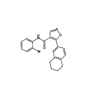 O=C(Nc1ccccc1Br)c1cnoc1-c1ccc2c(c1)CCCC2